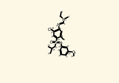 CCN(C)C=Nc1cc(C)c(S(=O)(CC(C)C)=Nc2cccc(OC)c2)cc1Cl